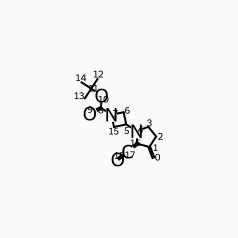 C=C1CCN(C2CN(C(=O)OC(C)(C)C)C2)C1=C=O